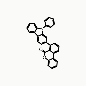 O=c1oc2ccccc2c2cccc(-c3ccc4c5ccccc5n(-c5ccccc5)c4c3)c12